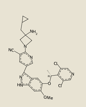 COc1cc2[nH]nc(-c3cnc(N4CC(N)(CC5CC5)C4)c(C#N)c3)c2cc1O[C@H](C)c1c(Cl)cncc1Cl